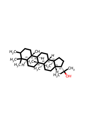 CC1CC[C@]2(C)[C@H]3CC[C@@H]4[C@@]5(C)CC[C@H](C(C)(C)O)[C@@H]5CC[C@@]4(C)[C@]3(C)CC[C@H]2C1(C)C